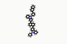 c1ccc(-n2c3ccccc3c3cc(-c4cccc5c(-c6ccc7c(c6)c6ccccc6n7-c6cccc(-c7ccc8ccccc8c7)c6)cccc45)ccc32)cc1